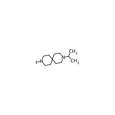 CC(C)N1CCC2(CCN(I)CC2)CC1